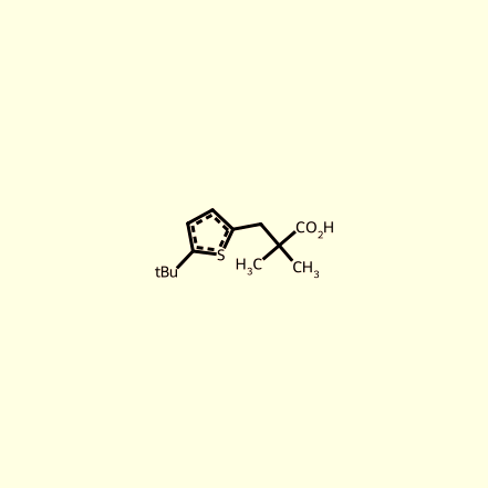 CC(C)(Cc1ccc(C(C)(C)C)s1)C(=O)O